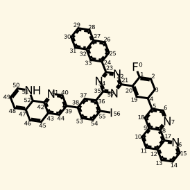 FC1=CCC(c2cnc3c(ccc4cccnc43)c2)C=C1c1nc(-c2ccc3ccccc3c2)nc(-c2cc(-c3cnc4c(c3)C=CC3=CC=CNC34)ccc2I)n1